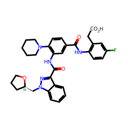 O=C(O)Cc1cc(F)ccc1NC(=O)c1ccc(N2CCCCC2)c(NC(=O)c2nn(C[C@@H]3CCCO3)c3ccccc23)c1